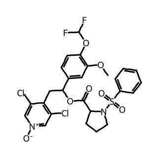 COc1cc(C(Cc2c(Cl)c[n+]([O-])cc2Cl)OC(=O)C2CCCN2S(=O)(=O)c2ccccc2)ccc1OC(F)F